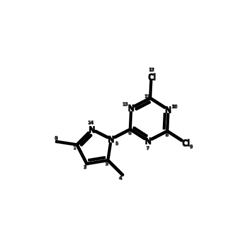 Cc1cc(C)n(-c2nc(Cl)nc(Cl)n2)n1